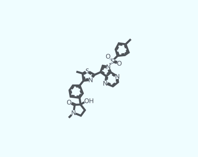 Cc1ccc(S(=O)(=O)n2cc(-c3nc(-c4cccc(C5(O)CCN(C)C5=O)c4)c(C)s3)c3nccnc32)cc1